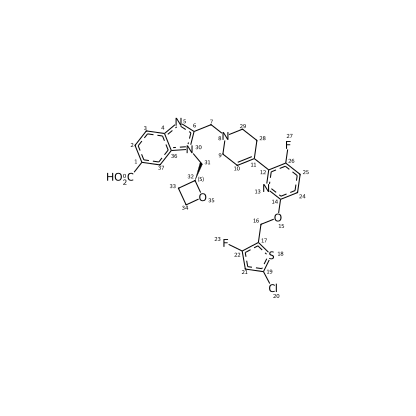 O=C(O)c1ccc2nc(CN3CC=C(c4nc(OCc5sc(Cl)cc5F)ccc4F)CC3)n(C[C@@H]3CCO3)c2c1